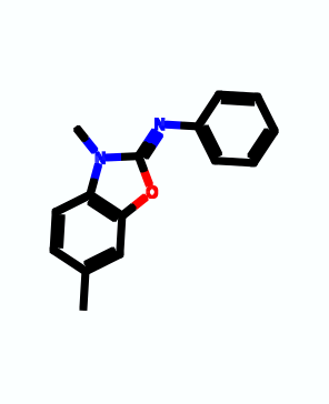 Cc1ccc2c(c1)o/c(=N\c1ccccc1)n2C